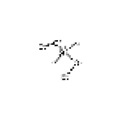 CC[O][Sn]([CH3])([CH3])[O]CC